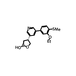 CCOc1cc(-c2cncc([C@@H]3COB(O)C3)c2)ccc1SC